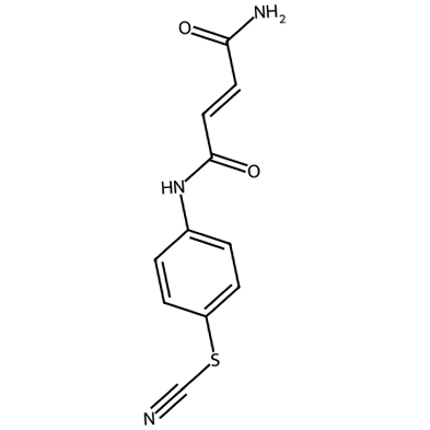 N#CSc1ccc(NC(=O)C=CC(N)=O)cc1